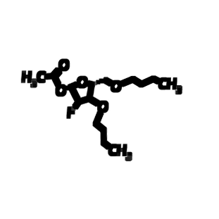 CCCCOC[C@H]1O[C@@H](OC(C)=O)C(F)C1OCCCC